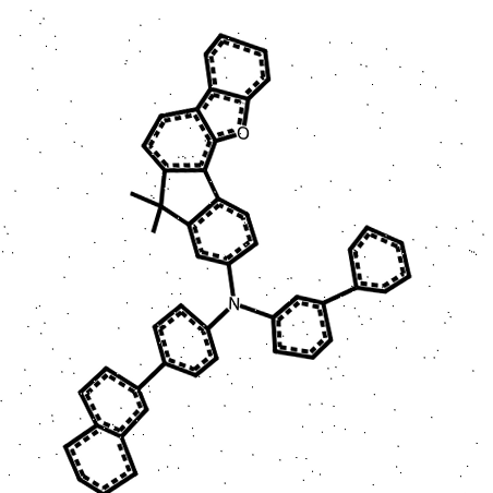 CC1(C)c2cc(N(c3ccc(-c4ccc5ccccc5c4)cc3)c3cccc(-c4ccccc4)c3)ccc2-c2c1ccc1c2oc2ccccc21